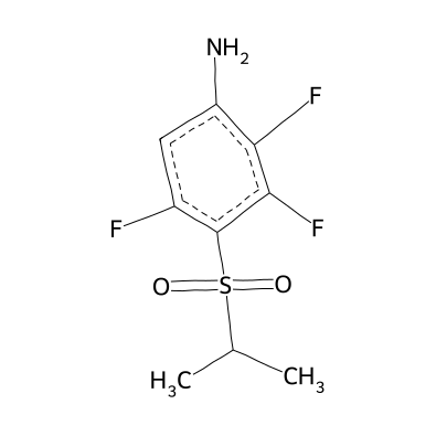 CC(C)S(=O)(=O)c1c(F)cc(N)c(F)c1F